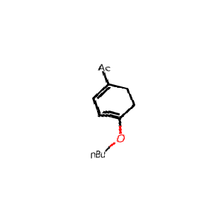 CCCCOC1=CC=C(C(C)=O)CC1